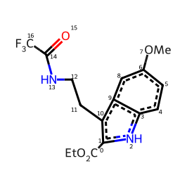 CCOC(=O)c1[nH]c2ccc(OC)cc2c1CCNC(=O)C(F)(F)F